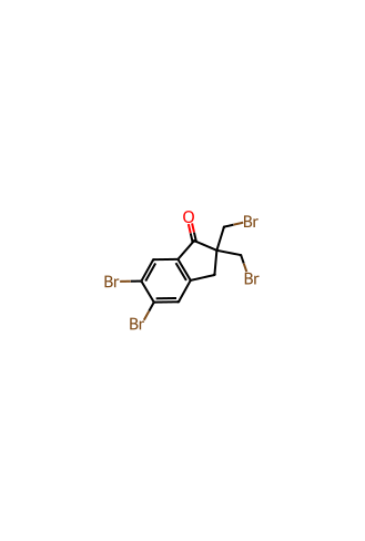 O=C1c2cc(Br)c(Br)cc2CC1(CBr)CBr